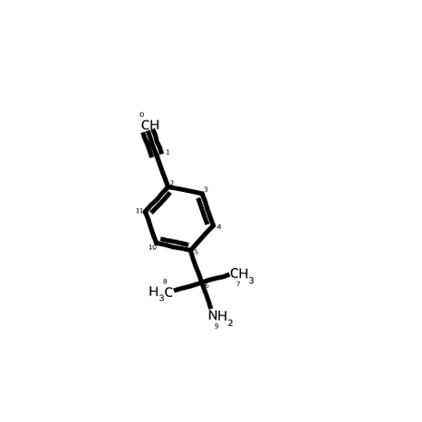 C#Cc1ccc(C(C)(C)N)cc1